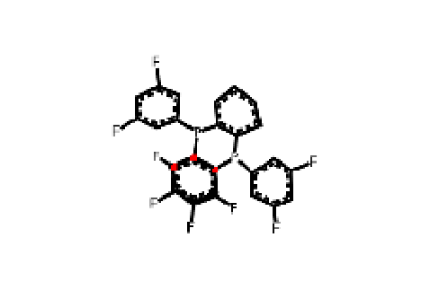 Fc1cc(F)cc(P(c2cc(F)cc(F)c2)c2ccccc2P(c2cc(F)cc(F)c2)c2cc(F)cc(F)c2)c1